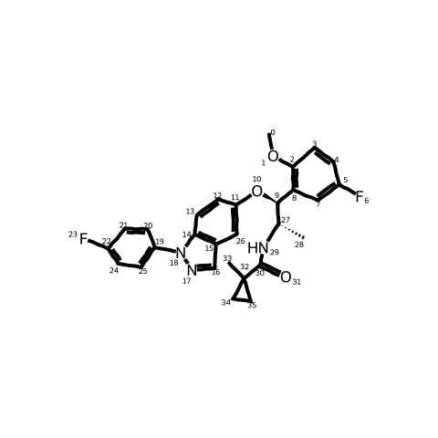 COc1ccc(F)cc1[C@H](Oc1ccc2c(cnn2-c2ccc(F)cc2)c1)[C@H](C)NC(=O)C1(C)CC1